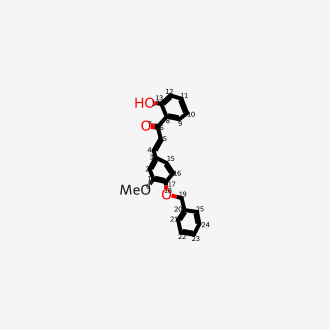 COc1cc(C=CC(=O)c2ccccc2O)ccc1OCc1ccccc1